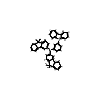 CC1(C)c2ccccc2-c2cc(N(c3cccc(-n4c5ccccc5c5ccccc54)c3)c3ccc4c(c3)-c3ccccc3C4(C)C)ccc21